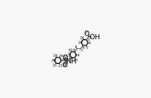 O=C(O)c1ccc(CCc2ccc(NS(=O)(=O)c3ccccc3)cc2)cc1